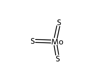 [S]=[Mo](=[S])=[S]